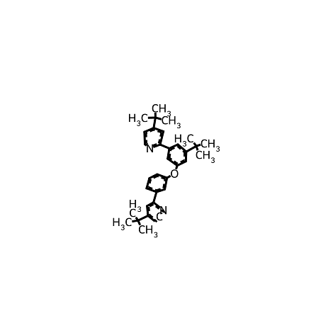 CC(C)(C)c1cc(Oc2cccc(-c3cc(C(C)(C)C)ccn3)c2)cc(-c2cc(C(C)(C)C)ccn2)c1